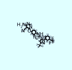 CC(C)(C)c1cc(NC(=O)Nc2ccc(Oc3ncnc(N)c3C#N)cc2F)n(-c2cccc(C(F)(F)F)c2)n1